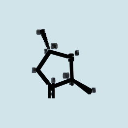 C[C@H]1CN[C@H](C)S1